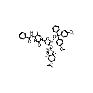 C=C(C)[C@H]1CC[C@@]2(C)SP(=S)(O[C@H]3C[C@H](n4cc(C)c(NC(=O)c5ccccc5)nc4=O)O[C@@H]3COC(c3ccccc3)(c3ccc(OC)cc3)c3ccc(OC)cc3)O[C@@H]2C1